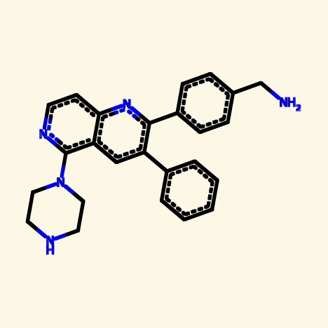 NCc1ccc(-c2nc3ccnc(N4CCNCC4)c3cc2-c2ccccc2)cc1